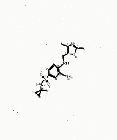 Cc1nc(C)c(CNc2ccc(S(=O)(=O)NC3(C)CC3)cc2N)s1